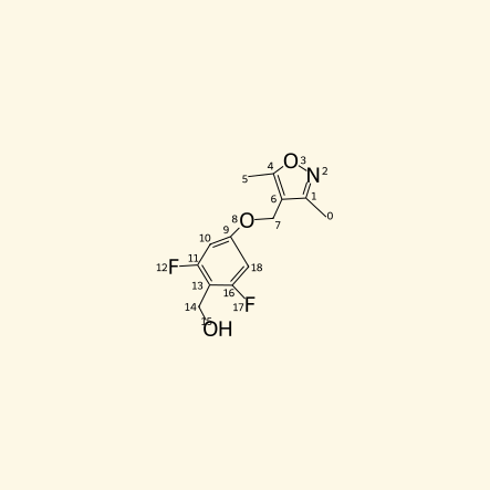 Cc1noc(C)c1COc1cc(F)c(CO)c(F)c1